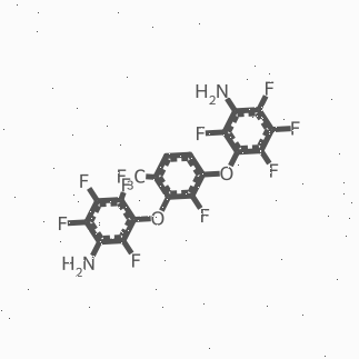 Nc1c(F)c(F)c(F)c(Oc2ccc(C(F)(F)F)c(Oc3c(F)c(N)c(F)c(F)c3F)c2F)c1F